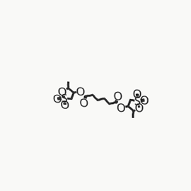 CC1OS(=O)(=O)CC1OC(=O)CCCCC(=O)OC1CS(=O)(=O)OC1C